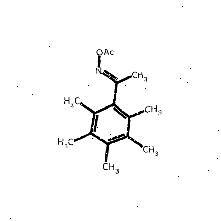 CC(=O)ON=C(C)c1c(C)c(C)c(C)c(C)c1C